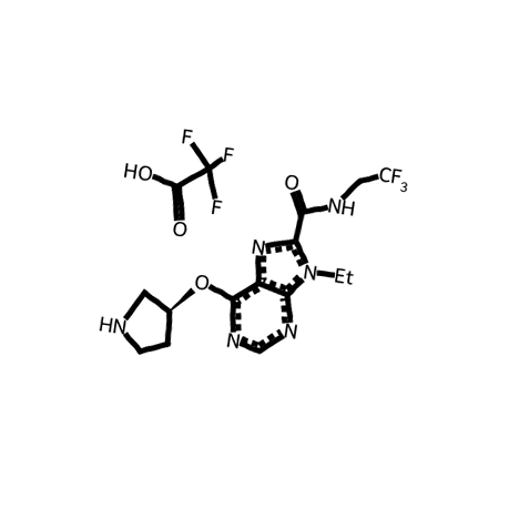 CCn1c(C(=O)NCC(F)(F)F)nc2c(O[C@H]3CCNC3)ncnc21.O=C(O)C(F)(F)F